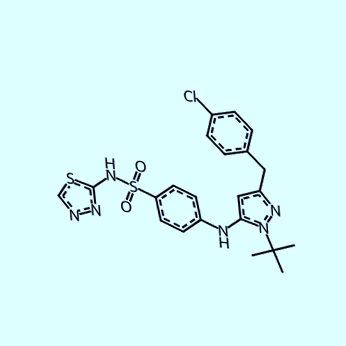 CC(C)(C)n1nc(Cc2ccc(Cl)cc2)cc1Nc1ccc(S(=O)(=O)Nc2nncs2)cc1